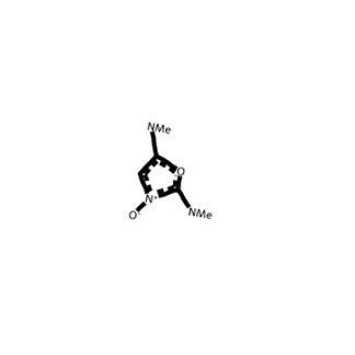 CNc1c[n+]([O-])c(NC)o1